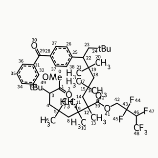 COC(=O)C(CC(C)(C)CC(C)(C)C(C)(CC(C)(C)CC(C)(C)C(CC(C)(C)C)c1ccc(C(=O)c2ccccc2)cc1)C(=O)OCC(F)(F)C(F)C(F)(F)F)C(C)(C)C